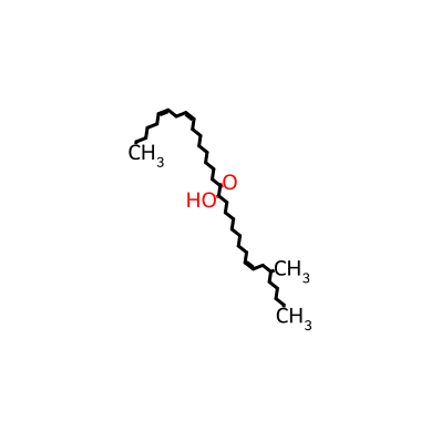 CCCCC/C=C\C/C=C\CCCCCCCC(=O)C(O)CCCCCCC/C=C\CC(C)CCCCC